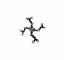 CN(/C=C/C=C(C#N)C#N)CCC[Si]1(C)O[Si](C)(CCCN(C)/C=C/C=C(C#N)C#N)O[Si](C)(CCCN(C)/C=C/C=C(C#N)C#N)O[Si](C)(CCCN(C)/C=C/C=C(C#N)C#N)O1